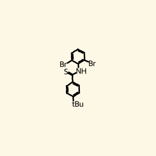 CC(C)(C)c1ccc(C(=S)Nc2c(Br)cccc2Br)cc1